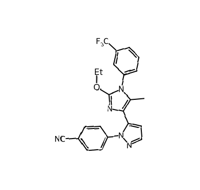 CCOc1nc(-c2ccnn2-c2ccc(C#N)cc2)c(C)n1-c1cccc(C(F)(F)F)c1